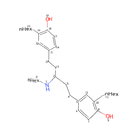 CCCCCCNC(CCc1ccc(O)c(CCCCCC)c1)CCc1ccc(O)c(CCCCCC)c1